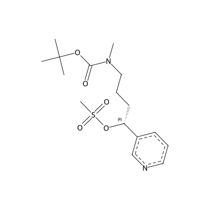 CN(CCC[C@@H](OS(C)(=O)=O)c1cccnc1)C(=O)OC(C)(C)C